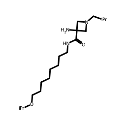 CC(C)CN1CC(N)(C(=O)NCCCCCCCCOC(C)C)C1